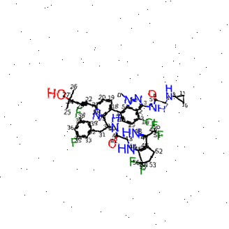 Cn1nc(NC(=O)CNC2CC2)c2c(Cl)ccc(-c3ccc(C#CC(C)(C)O)nc3C(Cc3cc(F)cc(F)c3)NC(=O)CNC3=C(C(=N)C(F)F)CCC3(F)F)c21